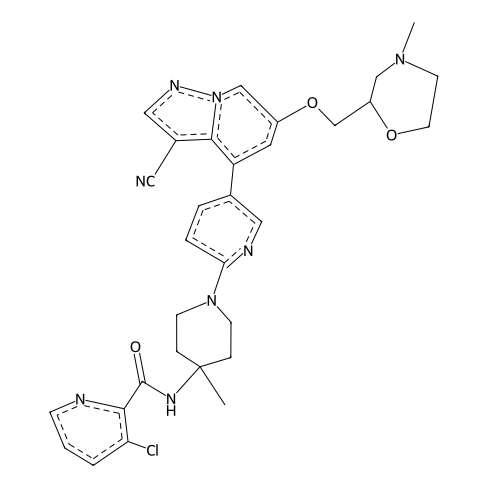 CN1CCOC(COc2cc(-c3ccc(N4CCC(C)(NC(=O)c5ncccc5Cl)CC4)nc3)c3c(C#N)cnn3c2)C1